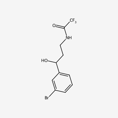 O=C(NCCC(O)c1cccc(Br)c1)C(F)(F)F